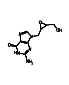 Nc1nc2c(ncn2CC2OC2CO)c(=O)[nH]1